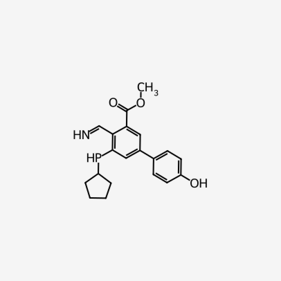 COC(=O)c1cc(-c2ccc(O)cc2)cc(PC2CCCC2)c1C=N